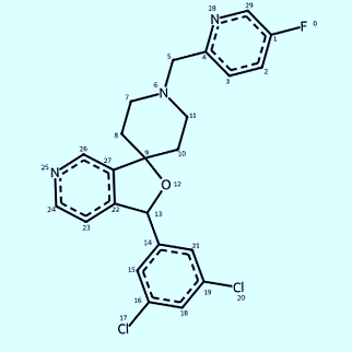 Fc1ccc(CN2CCC3(CC2)OC(c2cc(Cl)cc(Cl)c2)c2ccncc23)nc1